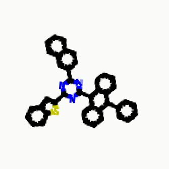 c1ccc(-c2c3ccccc3c(-c3nc(-c4ccc5ccccc5c4)nc(-c4cc5ccccc5s4)n3)c3ccccc23)cc1